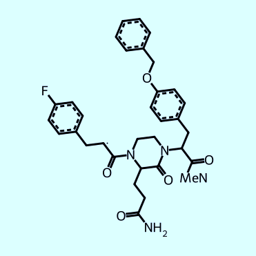 CNC(=O)C(Cc1ccc(OCc2ccccc2)cc1)N1CCN(C(=O)[CH]Cc2ccc(F)cc2)C(CCC(N)=O)C1=O